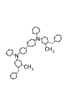 Cc1cc(N(c2ccccc2)c2ccc(-c3ccc(N(c4ccccc4)c4ccc(Cc5ccccc5)c(C)c4)cc3)cc2)ccc1Cc1ccccc1